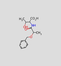 CC(OCc1ccccc1)C(=O)NC(C(=O)O)C(C)O